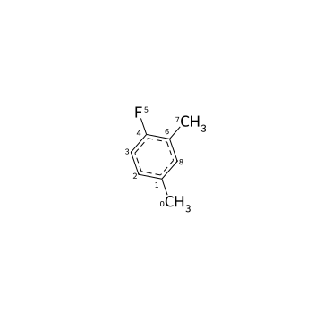 Cc1ccc(F)c(C)c1